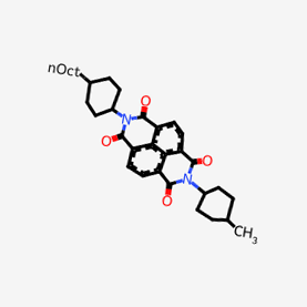 CCCCCCCCC1CCC(N2C(=O)c3ccc4c5c(ccc(c35)C2=O)C(=O)N(C2CCC(C)CC2)C4=O)CC1